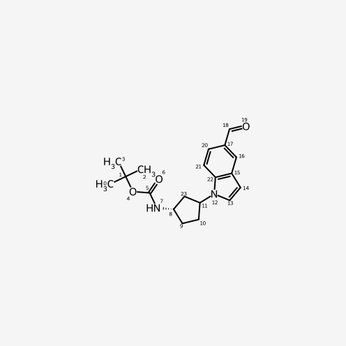 CC(C)(C)OC(=O)N[C@H]1CCC(n2ccc3cc(C=O)ccc32)C1